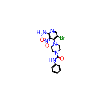 Nc1ncc(Br)c(N2CCN(C(=O)Nc3ccccc3)CC2)c1[N+](=O)[O-]